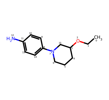 CCOC1CCCN(c2ccc(N)cc2)C1